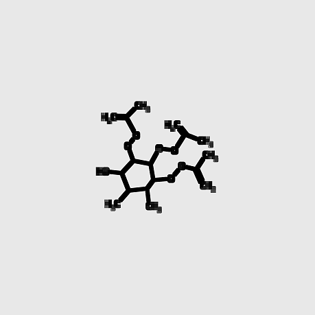 C=C(C)OOC1C(C)C(C)C(O)C(OOC(=C)C)C1OOC(=C)C